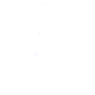 CC(C)(C)OC(O)CCCN(Cc1ccccc1)c1cc(C(F)(F)F)ccc1C=O